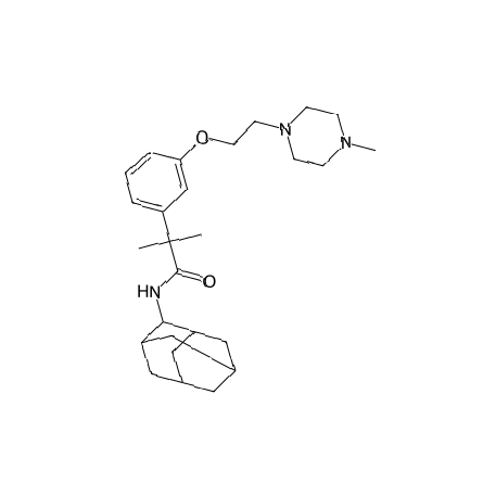 CN1CCN(CCOc2cccc(C(C)(C)C(=O)NC3C4CC5CC(C4)CC3C5)c2)CC1